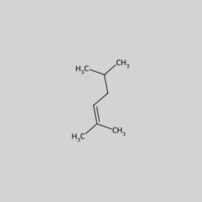 C[C](C)CC=C(C)C